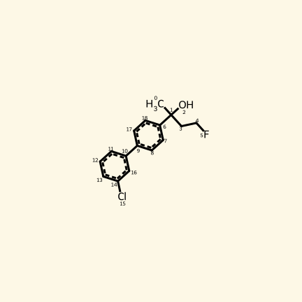 CC(O)(CCF)c1ccc(-c2cccc(Cl)c2)cc1